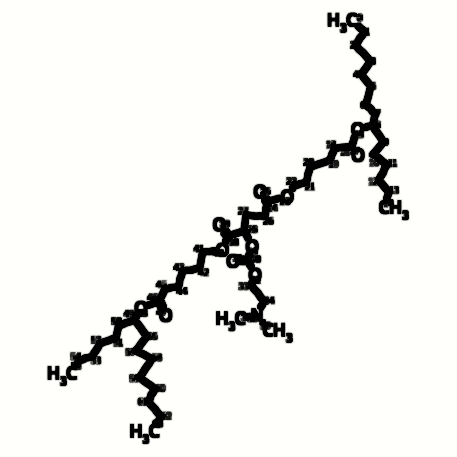 CCCCCCCCC(CCCCCC)OC(=O)CCCCCOC(=O)CCC(OC(=O)OCCN(C)C)C(=O)OCCCCCC(=O)OC(CCCCCC)CCCCCCCC